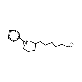 O=[C]CCCCCC1CCCN(c2ccccc2)C1